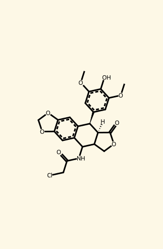 COc1cc([C@@H]2c3cc4c(cc3C(NC(=O)CCl)C3COC(=O)[C@@H]32)OCO4)cc(OC)c1O